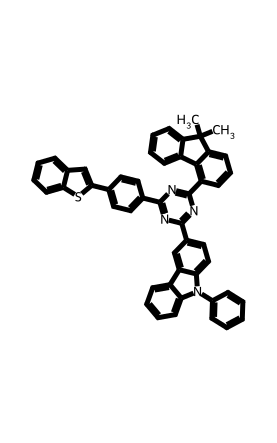 CC1(C)c2ccccc2-c2c(-c3nc(-c4ccc(-c5cc6ccccc6s5)cc4)nc(-c4ccc5c(c4)c4ccccc4n5-c4ccccc4)n3)cccc21